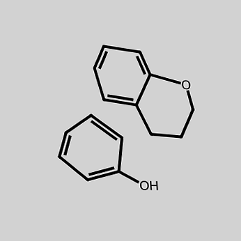 Oc1ccccc1.c1ccc2c(c1)CCCO2